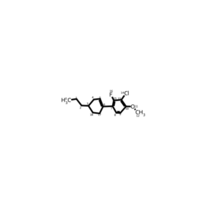 CCCC1CC=C(c2ccc(OC)c(Cl)c2F)CC1